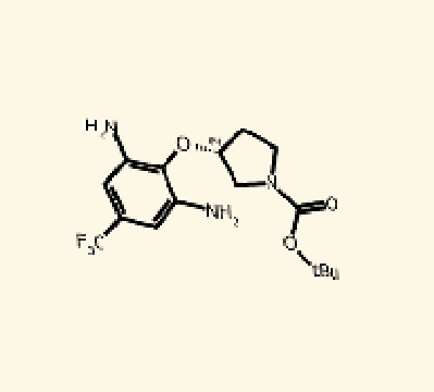 CC(C)(C)OC(=O)N1CC[C@@H](Oc2c(N)cc(C(F)(F)F)cc2N)C1